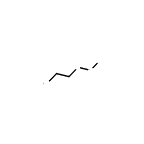 CCCCC[P][P]CC